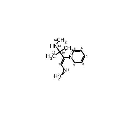 C=N/C=C(\N1C=CC=CC1)C(C)(C)NC